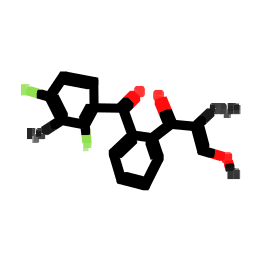 CCOC=C(C(=O)OCC)C(=O)c1ccccc1C(=O)c1ccc(F)c(C(F)(F)F)c1F